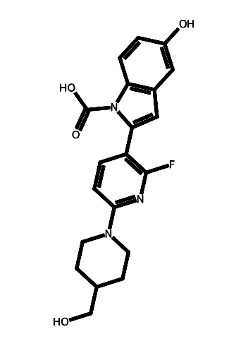 O=C(O)n1c(-c2ccc(N3CCC(CO)CC3)nc2F)cc2cc(O)ccc21